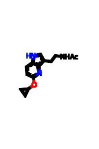 CC(=O)NCCc1c[nH]c2ccc(OC3CC3)nc12